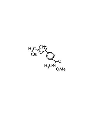 CON(C)C(=O)c1ccc(C2(O[Si](C)(C)C(C)(C)C)CC2)cc1